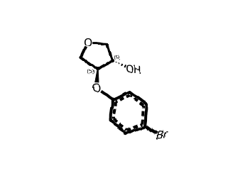 O[C@H]1COC[C@@H]1Oc1ccc(Br)cc1